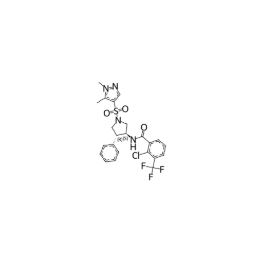 Cc1c(S(=O)(=O)N2C[C@@H](NC(=O)c3cccc(C(F)(F)F)c3Cl)[C@H](c3ccccc3)C2)cnn1C